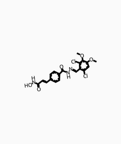 COc1cc(Cl)c(/C=N/NC(=O)c2ccc(/C=C/C(=O)NO)cc2)c(Cl)c1OC